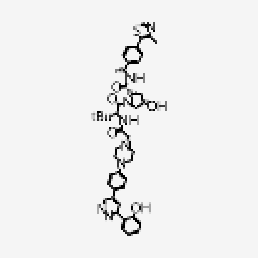 Cc1ncsc1-c1ccc([C@H](C)NC(=O)[C@@H]2C[C@@H](O)CN2C(=O)C(NC(=O)CN2CCN(c3ccc(-c4cnnc(-c5ccccc5O)c4)cc3)CC2)C(C)(C)C)cc1